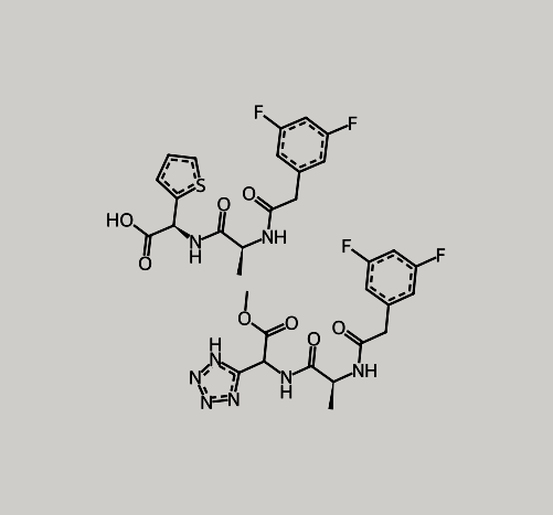 COC(=O)C(NC(=O)[C@H](C)NC(=O)Cc1cc(F)cc(F)c1)c1nnn[nH]1.C[C@H](NC(=O)Cc1cc(F)cc(F)c1)C(=O)N[C@@H](C(=O)O)c1cccs1